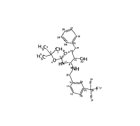 CC(C)(C)OC(=O)NC(NCc1cccc(C(F)(F)F)c1)C(O)CCc1ccccc1